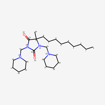 CCCCCCCCCC1(C)C(=O)N(CN2CCCCC2)C(=O)N1CN1CCCCC1